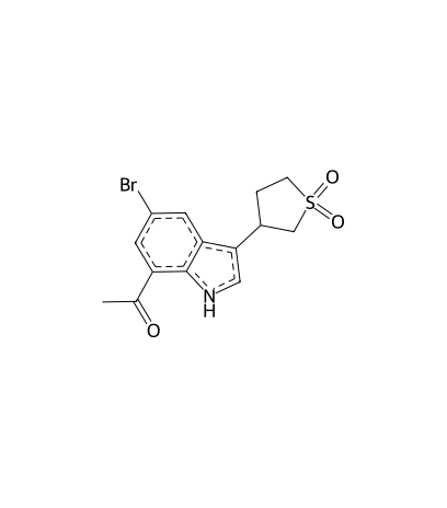 CC(=O)c1cc(Br)cc2c(C3CCS(=O)(=O)C3)c[nH]c12